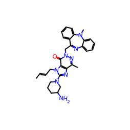 CC=CCn1c(N2CCCC(N)C2)nc2c(C)nn(CC3=Nc4ccccc4N(C)c4ccccc43)c(=O)c21